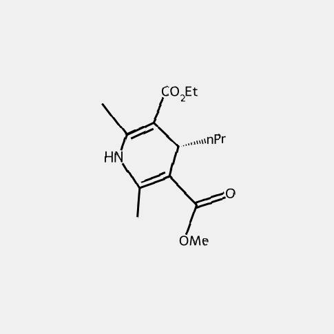 CCC[C@@H]1C(C(=O)OC)=C(C)NC(C)=C1C(=O)OCC